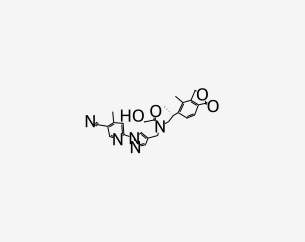 Cc1cc(-n2cc(CN(C[C@H](C)c3ccc4c(c3C)COC4=O)C(=O)CO)cn2)ncc1C#N